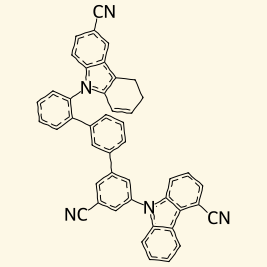 N#Cc1cc(-c2cccc(-c3ccccc3-n3c4c(c5cc(C#N)ccc53)CCC=C4)c2)cc(-n2c3ccccc3c3c(C#N)cccc32)c1